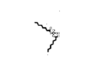 CCCCCCCC(=O)OP(=O)(S)SC(=O)CCCCCCC